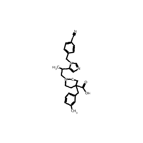 Cc1cccc(CC2(C(=O)O)CCN(CC(C)c3cncn3Cc3ccc(C#N)cc3)CC2)c1